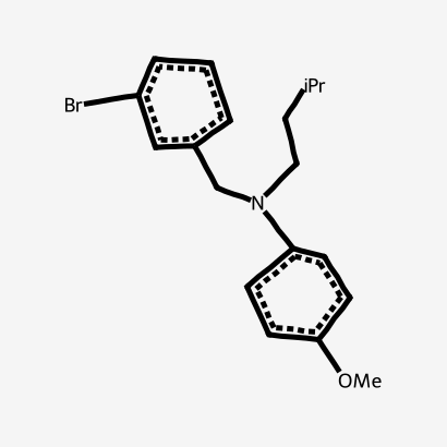 COc1ccc(N(CCC(C)C)Cc2cccc(Br)c2)cc1